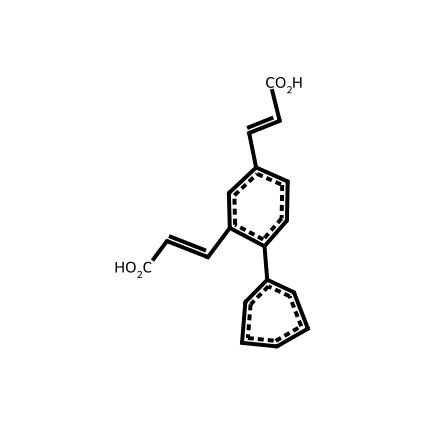 O=C(O)C=Cc1ccc(-c2ccccc2)c(C=CC(=O)O)c1